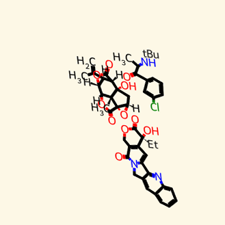 C=C(C)[C@@H]1[C@H]2OC(=O)[C@@H]1[C@]1(O)C[C@H]3O[C@]34C(=O)O[C@H]2[C@]14C.CC(NC(C)(C)C)C(=O)c1cccc(Cl)c1.CC[C@@]1(O)C(=O)OCc2c1cc1n(c2=O)Cc2cc3ccccc3nc2-1